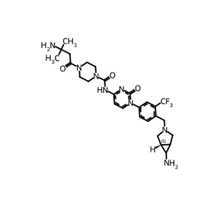 CC(C)(N)CC(=O)N1CCN(C(=O)Nc2ccn(-c3ccc(CN4CC5C(N)[C@@H]5C4)c(C(F)(F)F)c3)c(=O)n2)CC1